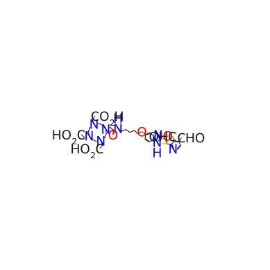 O=Cc1ccnc(C[S+]([O-])c2nc3cc(OCCCCCNC(=O)CN4CCN(CC(=O)O)CCN(CC(=O)O)CCN(CC(=O)O)CC4)ccc3[nH]2)c1C=O